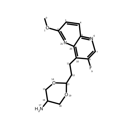 COc1ccc2ncc(F)c(CCC3OCC(N)CO3)c2n1